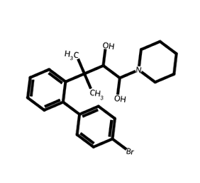 CC(C)(c1ccccc1-c1ccc(Br)cc1)C(O)C(O)N1CCCCC1